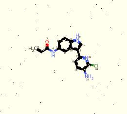 C=CC(=O)Nc1ccc2[nH]cc(-c3ccc(N)c(Cl)n3)c2c1